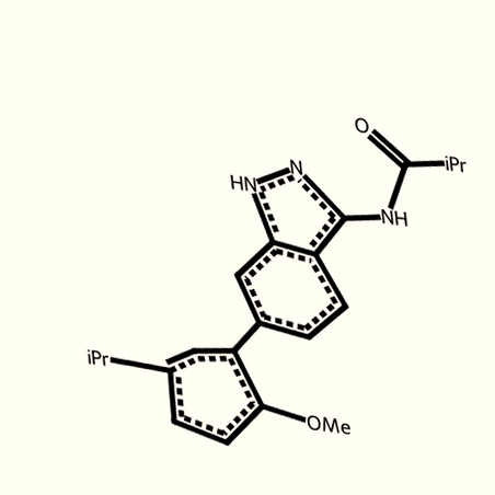 COc1ccc(C(C)C)cc1-c1ccc2c(NC(=O)C(C)C)n[nH]c2c1